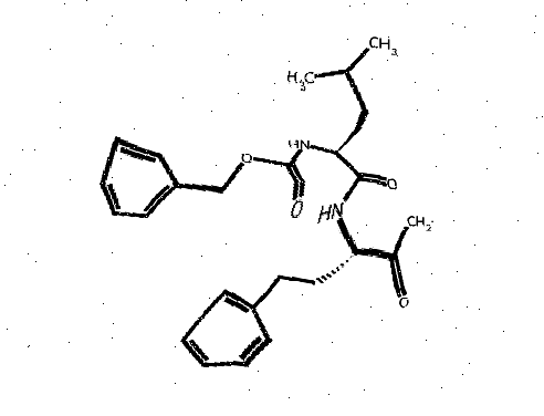 [CH2]C(=O)[C@H](CCc1ccccc1)NC(=O)[C@H](CC(C)C)NC(=O)OCc1ccccc1